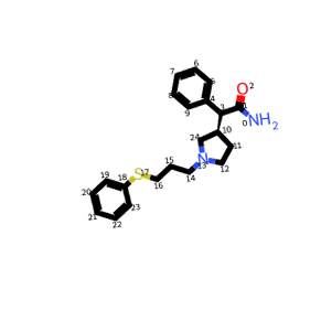 NC(=O)C(c1ccccc1)[C@H]1CCN(CCCSc2ccccc2)C1